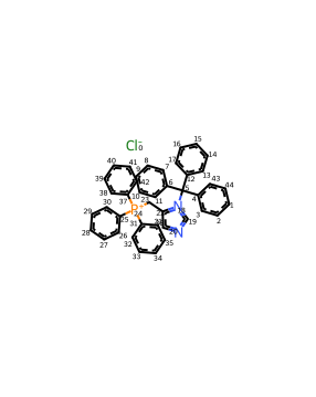 [Cl-].c1ccc(C(c2ccccc2)(c2ccccc2)n2cncc2C[P+](c2ccccc2)(c2ccccc2)c2ccccc2)cc1